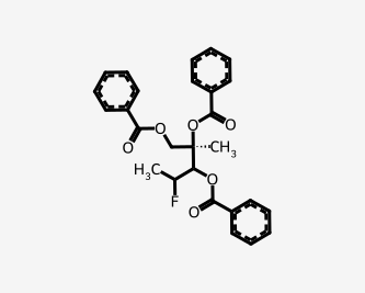 CC(F)C(OC(=O)c1ccccc1)[C@@](C)(COC(=O)c1ccccc1)OC(=O)c1ccccc1